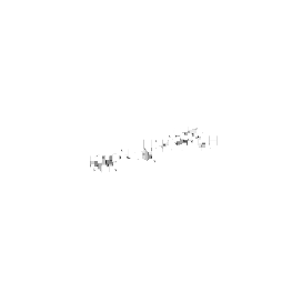 C[C@H]1CCCN1Cc1nc2cc(NC(=O)c3ccc4c(cnn4CCNC(=O)CNc4cccc5c4C(=O)N(C4CCC(=O)NC4=O)C5=O)c3)ccc2[nH]1